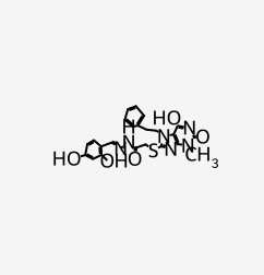 Cn1c(=O)nc(O)c2c1nc(SCC(=O)NN=Cc1ccc(O)cc1O)n2CCc1ccccc1